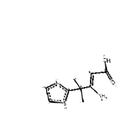 CC(C)(C(N)=CC(=O)O)c1nccs1